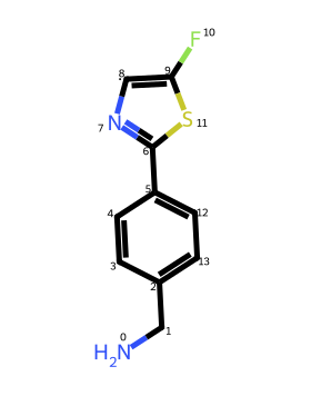 NCc1ccc(-c2n[c]c(F)s2)cc1